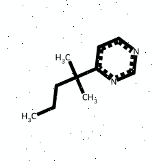 CCCC(C)(C)c1ccncn1